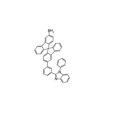 Bc1ccc2c(c1)-c1ccccc1C21c2ccccc2-c2cc(-c3cccc(-c4nc5ccccc5n4-c4ccccc4)c3)ccc21